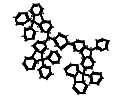 C1=CC2c3ccccc3C(c3ccccc3)(c3ccc4c(c3)c3cc(-c5ccc(N(c6ccc7c(c6)C(c6ccccc6)(c6ccccc6)c6ccccc6-7)c6ccc7c(c6)C(c6ccccc6)(c6ccccc6)c6ccccc6-7)cc5)ccc3n4-c3ccccc3)C2C=C1